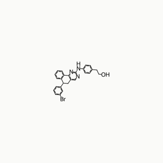 OCCc1ccc(Nc2ncc3c(n2)-c2ccccc2C(c2cccc(Br)c2)C3)cc1